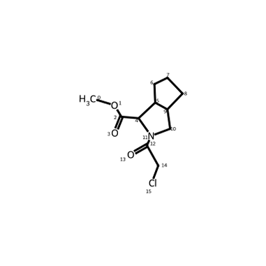 COC(=O)C1C2CCCC2CN1C(=O)CCl